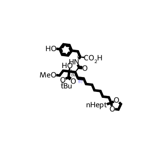 CCCCCCCC1(CCCCCC/C=C/[C@H](C(=O)N[C@@H](Cc2ccc(O)cc2)C(=O)O)[C@@](O)(CCOC)C(=O)OC(C)(C)C)OCCO1